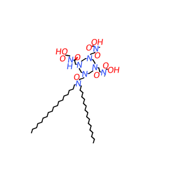 CCCCCCCCCCCCCCCCCCN(CCCCCCCCCCCCCCCCCC)C(=O)CN1CCN(CC(=O)NCC(=O)O)CCN(CC(=O)N(C)C(=O)O)CCN(CC(=O)N(C)C(=O)O)CC1